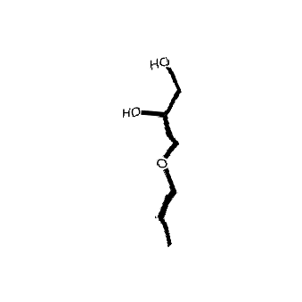 C[CH]COCC(O)CO